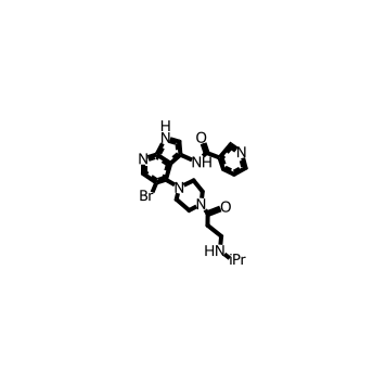 CC(C)NCCC(=O)N1CCN(c2c(Br)cnc3[nH]cc(NC(=O)c4cccnc4)c23)CC1